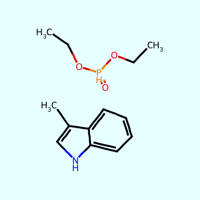 CCO[PH](=O)OCC.Cc1c[nH]c2ccccc12